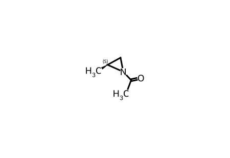 CC(=O)N1C[C@@H]1C